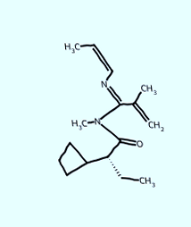 C=C(C)/C(=N\C=C/C)N(C)C(=O)[C@H](CC)C1CCC1